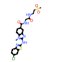 Cn1c(Nc2nc3ccc(Cl)cc3s2)nc2cc(C(=O)NCC(=O)NCCS(C)(=O)=O)ccc21